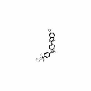 [O]c1ccc2nc(N3CCC(Nc4ccc(C(F)(F)C(F)(F)F)cc4)CC3)sc2c1